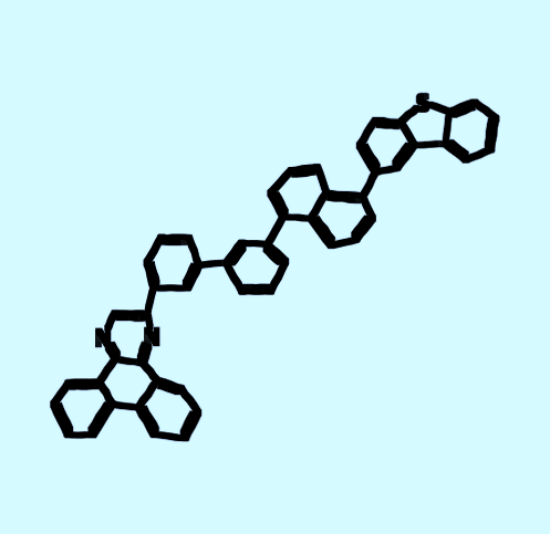 c1cc(-c2cccc(-c3cccc4c(-c5ccc6sc7ccccc7c6c5)cccc34)c2)cc(-c2cnc3c4ccccc4c4ccccc4c3n2)c1